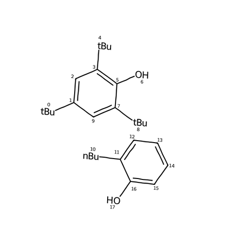 CC(C)(C)c1cc(C(C)(C)C)c(O)c(C(C)(C)C)c1.CCCCc1ccccc1O